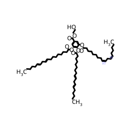 CCCCCC=CCC=CCCCCCCCC(=O)Oc1cc(C(=O)OCCO)cc(OC(=O)CCCCCCC/C=C\C/C=C\CCCCC)c1OC(=O)CCCCCCCC=CCC=CCCCCC